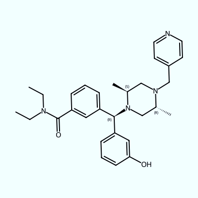 CCN(CC)C(=O)c1cccc([C@H](c2cccc(O)c2)N2C[C@@H](C)N(Cc3ccncc3)C[C@@H]2C)c1